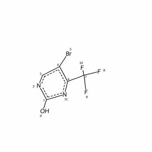 Oc1ncc(Br)c(C(F)(F)F)n1